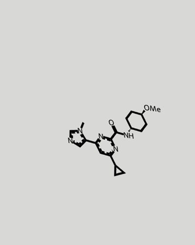 CO[C@H]1CC[C@H](NC(=O)c2nc(-c3cncn3C)cc(C3CC3)n2)CC1